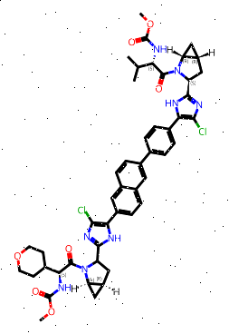 COC(=O)N[C@H](C(=O)N1[C@@H]2C[C@@H]2C[C@H]1c1nc(Cl)c(-c2ccc(-c3ccc4cc(-c5[nH]c(C6C[C@H]7C[C@H]7N6C(=O)[C@@H](NC(=O)OC)C6CCOCC6)nc5Cl)ccc4c3)cc2)[nH]1)C(C)C